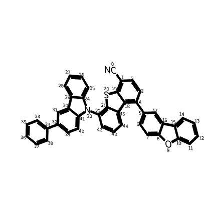 N#Cc1ccc(-c2ccc3oc4ccccc4c3c2)c2c1sc1c(-n3c4ccccc4c4cc(-c5ccccc5)ccc43)cccc12